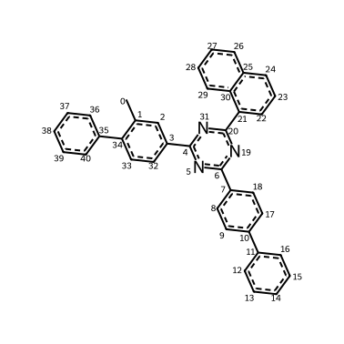 Cc1cc(-c2nc(-c3ccc(-c4ccccc4)cc3)nc(-c3cccc4ccccc34)n2)ccc1-c1ccccc1